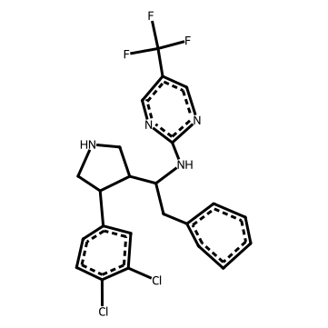 FC(F)(F)c1cnc(NC(Cc2ccccc2)C2CNCC2c2ccc(Cl)c(Cl)c2)nc1